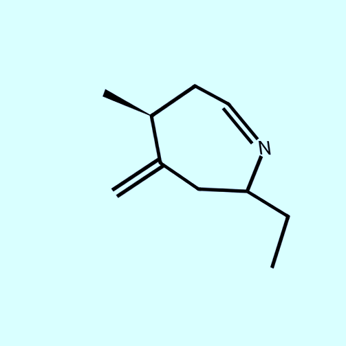 C=C1CC(CC)N=CC[C@@H]1C